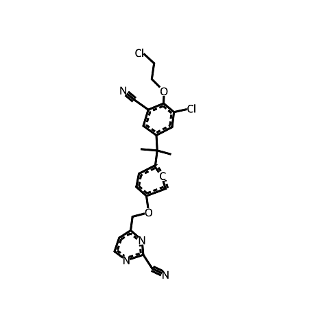 CC(C)(c1ccc(OCc2ccnc(C#N)n2)cc1)c1cc(Cl)c(OCCCl)c(C#N)c1